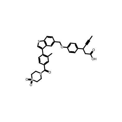 CC#CC(CC(=O)O)c1ccc(OCc2ccc3scc(-c4ccc(C(=O)N5CCS(=O)(=O)CC5)cc4C)c3c2)cc1